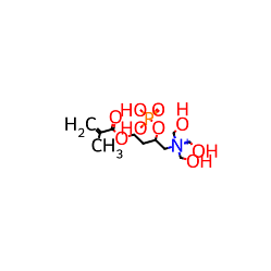 C=C(C)C(=O)OCCC(C[N+](CO)(CO)CO)OP(=O)(O)O